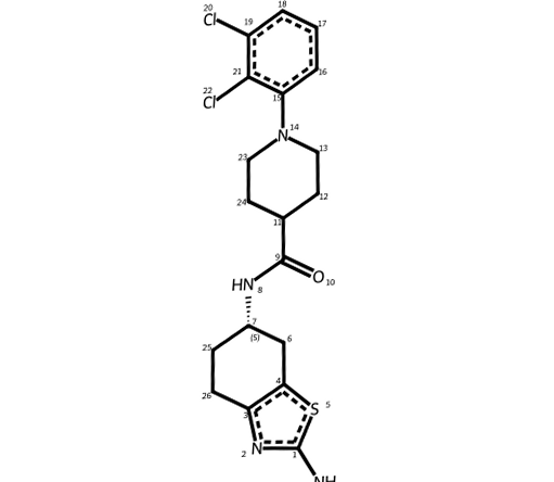 Nc1nc2c(s1)C[C@@H](NC(=O)C1CCN(c3cccc(Cl)c3Cl)CC1)CC2